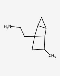 CC1CC2(CCN)C3CC3C12